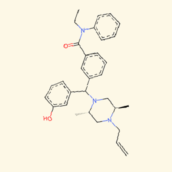 C=CCN1C[C@H](C)N(C(c2cccc(O)c2)c2cccc(C(=O)N(CC)c3ccccc3)c2)C[C@H]1C